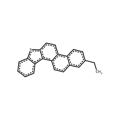 CCc1ccc2c(ccc3c2ccc2sc4ccccc4c23)c1